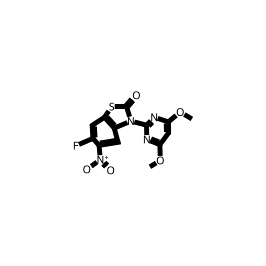 COc1cc(OC)nc(-n2c(=O)sc3cc(F)c([N+](=O)[O-])cc32)n1